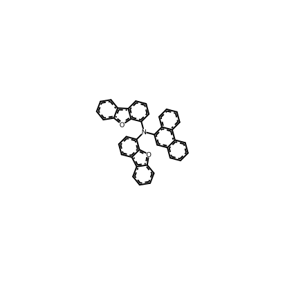 c1ccc2c(c1)cc(N(c1cccc3c1oc1ccccc13)c1cccc3c1oc1ccccc13)c1ccccc12